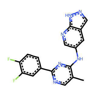 Cc1cnc(-c2ccc(F)c(F)c2)nc1Nc1cnc2[nH]ncc2c1